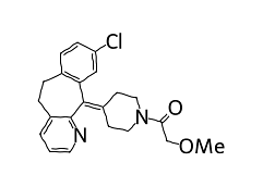 COCC(=O)N1CCC(=C2c3cc(Cl)ccc3CCc3cccnc32)CC1